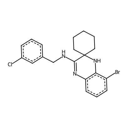 Clc1cccc(CNC2=Nc3cccc(Br)c3NC23CCCCC3)c1